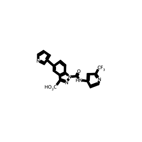 O=C(O)c1nn(C(=O)Nc2ccnc(C(F)(F)F)c2)c2ccc(-c3cccnc3)cc12